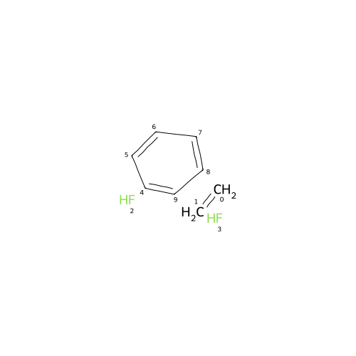 C=C.F.F.c1ccccc1